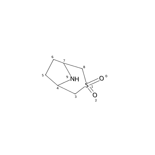 O=S1(=O)CC2CCC(C1)N2